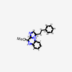 COc1nc2ccccc2n2c(CCc3ccccc3)cnc12